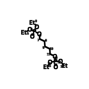 CCOP(=O)(OCC)OCCCCCOP(=O)(OCC)OCC